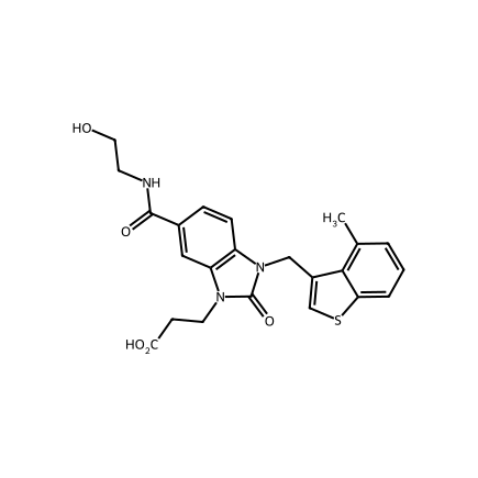 Cc1cccc2scc(Cn3c(=O)n(CCC(=O)O)c4cc(C(=O)NCCO)ccc43)c12